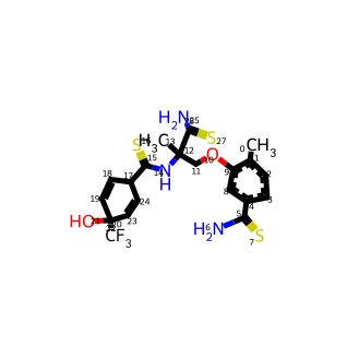 Cc1ccc(C(N)=S)cc1OCC(C)(NC(=S)C1C=CC(O)(C(F)(F)F)C=C1)C(N)=S